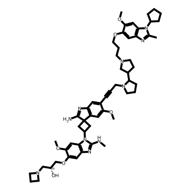 CNc1nc2cc(OC[C@H](O)CN3CCC3)c(OC)cc2n1C1CC2(C1)C(N)=Nc1cc(C#CCN3CCCC3C3CCN(CCCOc4cc5nc(C)n(C6CCCC6)c5cc4OC)C3)c(OC)cc12